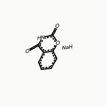 O=c1[nH]c(=O)c2ccccc2o1.[NaH]